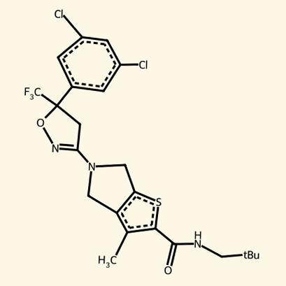 Cc1c(C(=O)NCC(C)(C)C)sc2c1CN(C1=NOC(c3cc(Cl)cc(Cl)c3)(C(F)(F)F)C1)C2